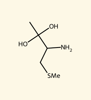 CSCC(N)C(C)(O)O